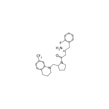 N[C@@H](CC(=O)N1CCCC1CN1CCCc2ccc(C(F)(F)F)cc21)Cc1ccccc1F